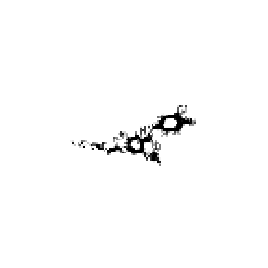 CCCOCCOc1cc2ncnc(Nc3ccc(F)c(Cl)c3)c2cc1N